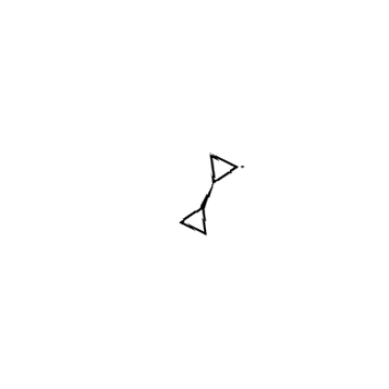 [CH]1C[C@@H]1C1CC1